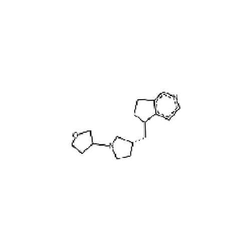 c1cc2c(cn1)CCC2C[C@@H]1CCN(C2CCOC2)C1